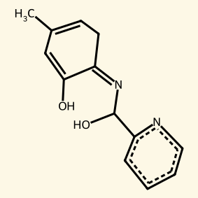 CC1=CCC(=NC(O)c2ccccn2)C(O)=C1